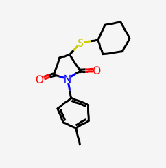 Cc1ccc(N2C(=O)CC(SC3CCCCC3)C2=O)cc1